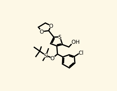 CC(C)(C)[Si](C)(C)OC(c1cccc(Cl)c1)c1cc(C2OCCO2)sc1CO